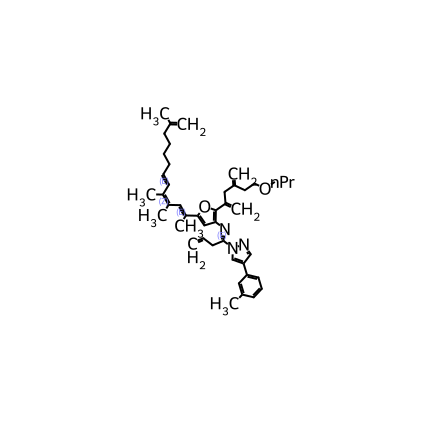 C=CC/C(=N\c1cc(/C(C)=C/C(C)=C(C)\C=C\CCCCC(=C)C)oc1C(=C)CC(=C)CCOCCC)n1cc(-c2cccc(C)c2)cn1